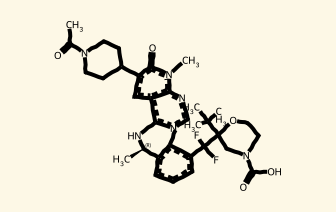 CC(=O)N1CCC(c2cc3c(N[C@H](C)c4cccc(C(F)(F)C5(C(C)(C)C)CN(C(=O)O)CCO5)c4F)ncnc3n(C)c2=O)CC1